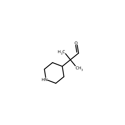 CC(C)(C=O)C1CCNCC1